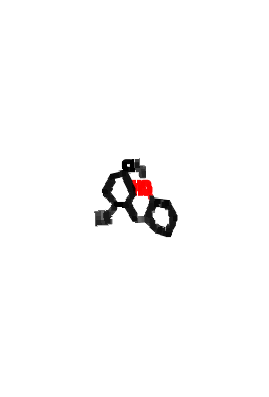 CCC1C=CC(C)=CC1=Cc1ccccc1O